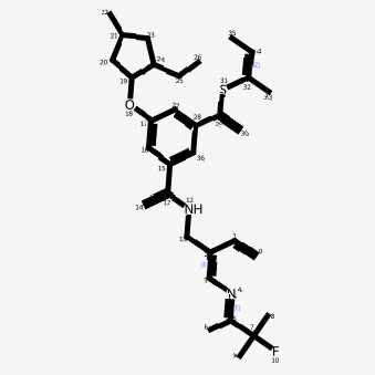 C=C/C(=C\N=C(/C)C(C)(C)F)CNC(=C)c1cc(OC2CC(C)CC2CC)cc(C(=C)S/C(C)=C\C)c1